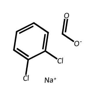 Clc1ccccc1Cl.O=C[O-].[Na+]